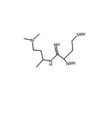 CNC(CCSC)C(=N)NC(C)CCN(C)C